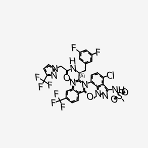 Cn1nc(NS(C)(=O)=O)c2c(Cl)ccc(-n3c([C@H](Cc4cc(F)cc(F)c4)NC(=O)Cn4ccc(C(F)(F)F)n4)nc4cc(C(F)(F)F)ccc4c3=O)c21